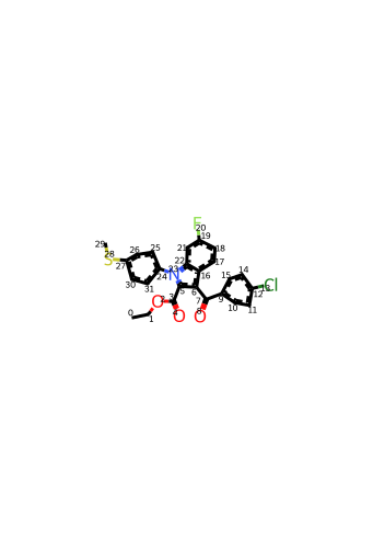 CCOC(=O)c1c(C(=O)c2ccc(Cl)cc2)c2ccc(F)cc2n1-c1ccc(SC)cc1